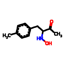 CC(=O)C(Cc1ccc(C)cc1)NO